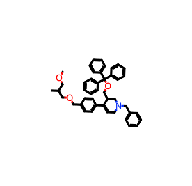 COCC(C)COCc1ccc(C2=CCN(Cc3ccccc3)CC2COC(c2ccccc2)(c2ccccc2)c2ccccc2)cc1